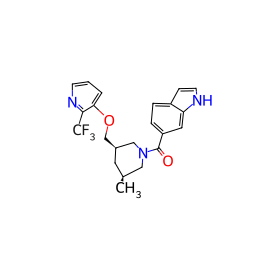 C[C@H]1C[C@@H](COc2cccnc2C(F)(F)F)CN(C(=O)c2ccc3cc[nH]c3c2)C1